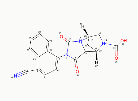 N#Cc1ccc(N2C(=O)C3[C@@H]4C[C@@H](CN4C(=O)O)N3C2=O)c2ccccc12